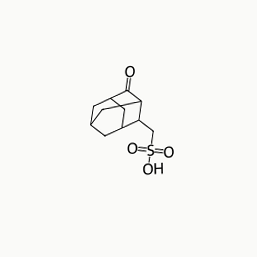 O=C1C2CC3CC(C2)C(CS(=O)(=O)O)C1C3